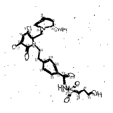 CCC[C@H]1CCCN1Cc1c(Cl)cc(Cl)c(=O)n1CCc1ccc(C(=O)NS(=O)(=O)CCCO)cc1